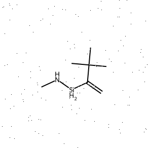 C=C([SiH2]NC)C(C)(C)C